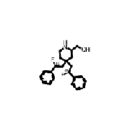 OCC1CC(C[C@H](F)c2ccccc2)(C[C@H](F)c2ccccc2)CCN1